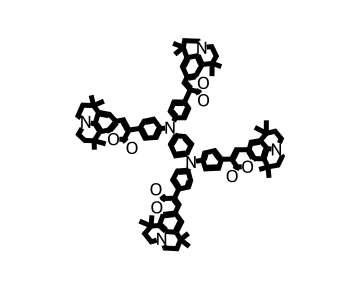 CC1(C)CCN2CCC(C)(C)c3c2c1cc1cc(-c2ccc(N(c4ccc(-c5cc6cc7c8c(c6oc5=O)C(C)(C)CCN8CCC7(C)C)cc4)c4ccc(N(c5ccc(-c6cc7cc8c9c(c7oc6=O)C(C)(C)CCN9CCC8(C)C)cc5)c5ccc(-c6cc7cc8c9c(c7oc6=O)C(C)(C)CCN9CCC8(C)C)cc5)cc4)cc2)c(=O)oc31